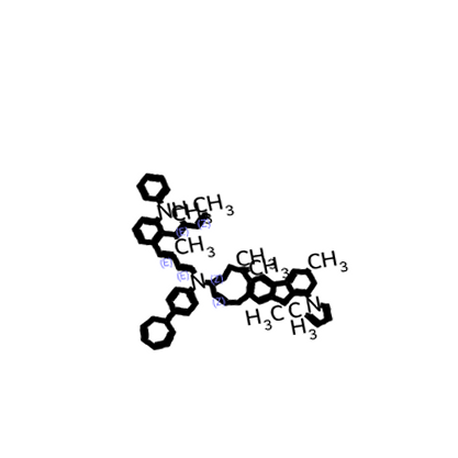 C/C=C\C(C)=C(/C)c1c(/C=C/C=C/N(C2=C\CC(C)(C)c3cc4c(cc3C/C=C\2)C(C)(C)C2=C(n3cccc3)CC(C)C=C24)c2ccc(C3C=C=CC=CC3)cc2)cccc1Nc1ccccc1